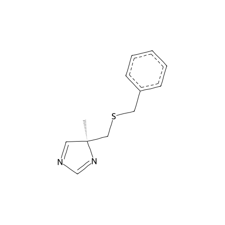 C[C@@]1(CSCc2ccccc2)C=NC=N1